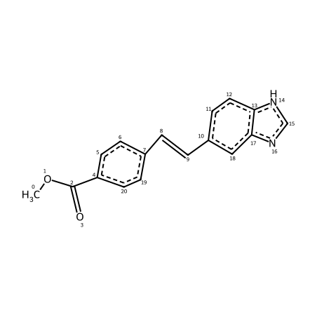 COC(=O)c1ccc(C=Cc2ccc3[nH]cnc3c2)cc1